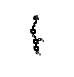 Cc1nc(-c2ccc(C(F)(F)F)cc2)ccc1COc1ccc(CCCCn2ccnn2)cc1